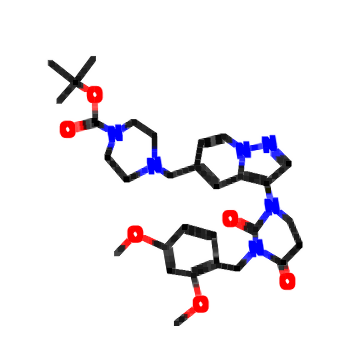 COc1ccc(CN2C(=O)CCN(c3cnn4ccc(CN5CCN(C(=O)OC(C)(C)C)CC5)cc34)C2=O)c(OC)c1